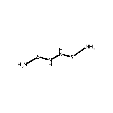 NSNNSN